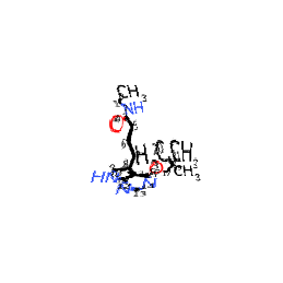 CCNC(=O)C=CCc1c[nH]c2ncnc(OCC(C)(C)C)c12